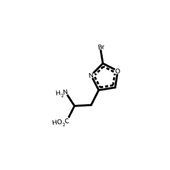 NC(Cc1coc(Br)n1)C(=O)O